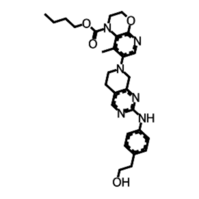 CCCCOC(=O)N1CCOc2ncc(N3CCc4cnc(Nc5ccc(CCO)cc5)nc4C3)c(C)c21